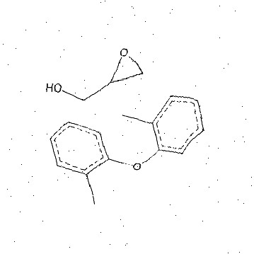 Cc1ccccc1Oc1ccccc1C.OCC1CO1